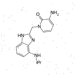 CC(C)Nc1cccc2[nH]c(Cn3cccc(N)c3=O)nc12